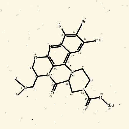 CN(C)CC1COc2nc3c(F)c(Br)c(Cl)cc3c3c2N1C(=O)C1CN(C(=O)OC(C)(C)C)CCN31